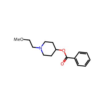 COCCN1CCC(OC(=O)c2ccccc2)CC1